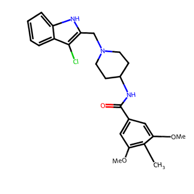 COc1cc(C(=O)NC2CCN(Cc3[nH]c4ccccc4c3Cl)CC2)cc(OC)c1C